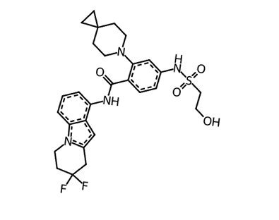 O=C(Nc1cccc2c1cc1n2CCC(F)(F)C1)c1ccc(NS(=O)(=O)CCO)cc1N1CCC2(CC1)CC2